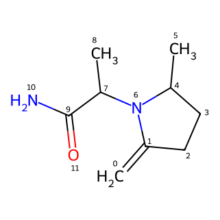 C=C1CCC(C)N1C(C)C(N)=O